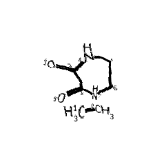 CC.O=C1NCCNC1=O